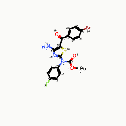 CC(C)(C)OC(=O)N(c1ccc(F)cc1)c1nc(N)c(C(=O)c2ccc(Br)cc2)s1